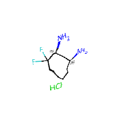 Cl.N[C@H]1CCCC(F)(F)[C@H]1N